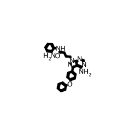 Nc1ccccc1NC(=O)CCCn1nc(-c2ccc(Oc3ccccc3)cc2)c2c(N)ncnc21